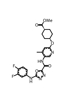 COC(=O)[C@H]1CC[C@@H](Oc2cc(C)c(NC(=O)c3nnc(Nc4ccc(F)c(F)c4)o3)cn2)CC1